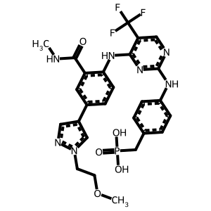 CNC(=O)c1cc(-c2cnn(CCOC)c2)ccc1Nc1nc(Nc2ccc(CP(=O)(O)O)cc2)ncc1C(F)(F)F